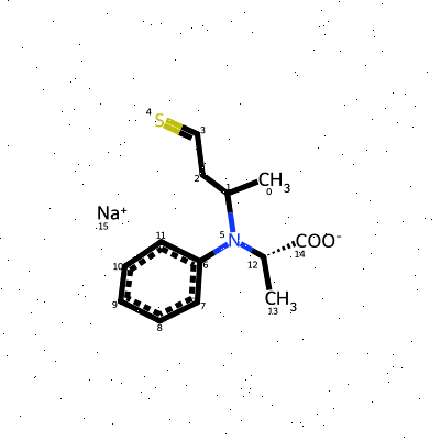 CC(CC=S)N(c1ccccc1)[C@@H](C)C(=O)[O-].[Na+]